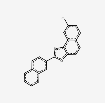 Clc1ccc2ccc3oc(-c4ccc5ccccc5c4)nc3c2c1